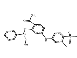 Cc1cc(Nc2ncc(C(N)=O)c(N[C@H](CO)c3ccccc3)n2)ccc1S(C)(=O)=O